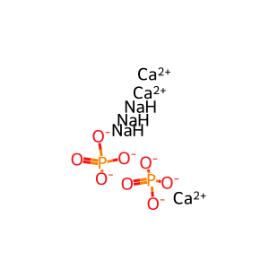 O=P([O-])([O-])[O-].O=P([O-])([O-])[O-].[Ca+2].[Ca+2].[Ca+2].[NaH].[NaH].[NaH]